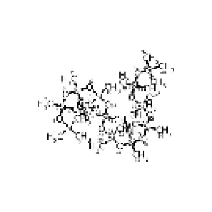 C[Si](C)(C)O[Si](C)(C)O[Si](C)(C)O[Si](C)(C)O[Si](C)(C)O[Si](C)(C)O[Si](C)(C)O[Si](C)(C)O[Si](C)(C)O[Si](C)(C)O[Si](C)(C)C